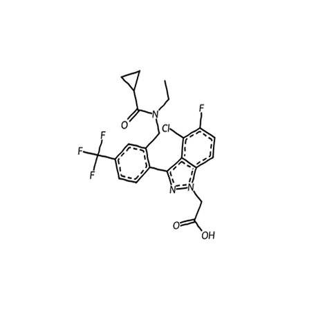 CCN(Cc1cc(C(F)(F)F)ccc1-c1nn(CC(=O)O)c2ccc(F)c(Cl)c12)C(=O)C1CC1